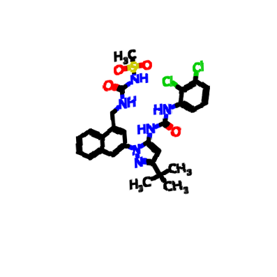 CC(C)(C)c1cc(NC(=O)Nc2cccc(Cl)c2Cl)n(-c2cc(CNC(=O)NS(C)(=O)=O)c3ccccc3c2)n1